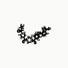 CC(C)(C)OC(=O)N1CCC(C(=O)N2CCN(C(=O)c3ccc(Nc4nccn5c(I)cnc45)cc3F)CC2)CC1